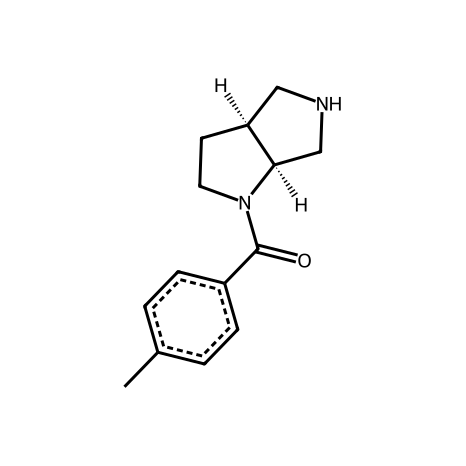 Cc1ccc(C(=O)N2CC[C@H]3CNC[C@H]32)cc1